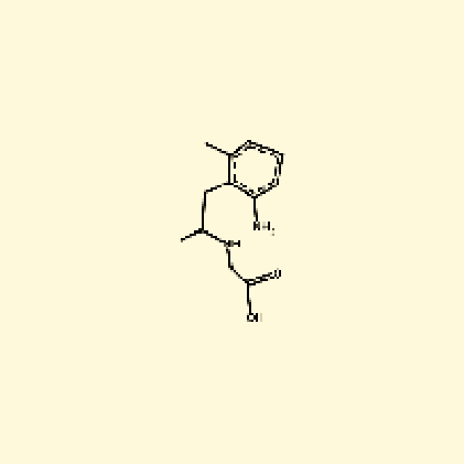 Cc1cccc(N)c1CC(C)NCC(=O)O